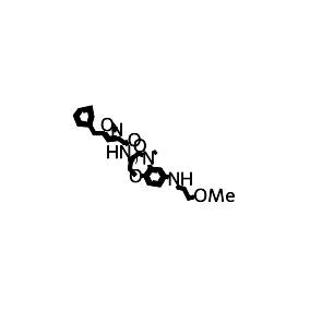 COCCCNc1ccc2c(c1)N(C)C(=O)[C@@H](NC(=O)c1cc(Cc3ccccc3)on1)CO2